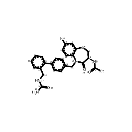 CCC(=O)N[C@@H]1CSc2cc(F)ccc2N(Cc2ccc(-c3ccccc3CNC(N)=O)cc2)C1=O